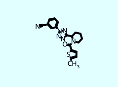 Cc1ccc(C(=O)N2CCCCC2c2nnn(-c3cccc(C#N)c3)n2)s1